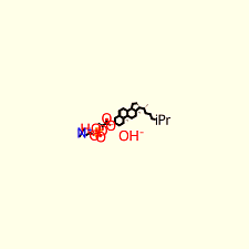 CC(C)CCC[C@@H](C)[C@H]1CCC2C3CC=C4C[C@@H](OC(=O)[C@H](C)OP(=O)(O)OCC[N+](C)(C)C)CC[C@]4(C)C3CC[C@@]21C.[OH-]